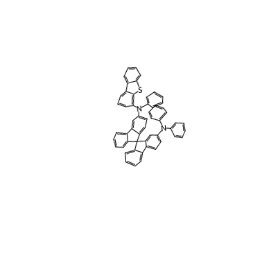 c1ccc(N(c2ccccc2)c2ccc3c(c2)C2(c4ccccc4-c4cc(N(c5ccccc5)c5cccc6c5sc5ccccc56)ccc42)c2ccccc2-3)cc1